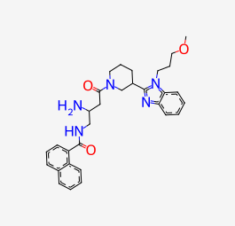 COCCCn1c(C2CCCN(C(=O)CC(N)CNC(=O)c3cccc4ccccc34)C2)nc2ccccc21